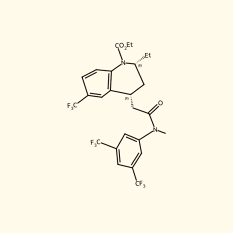 CCOC(=O)N1c2ccc(C(F)(F)F)cc2[C@@H](CC(=O)N(C)c2cc(C(F)(F)F)cc(C(F)(F)F)c2)C[C@H]1CC